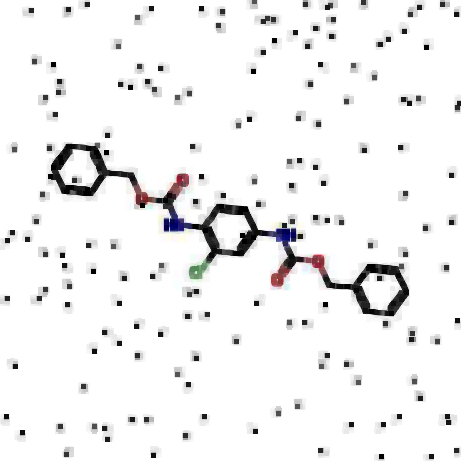 O=C(Nc1ccc(NC(=O)OCc2ccccc2)c(Cl)c1)OCc1ccccc1